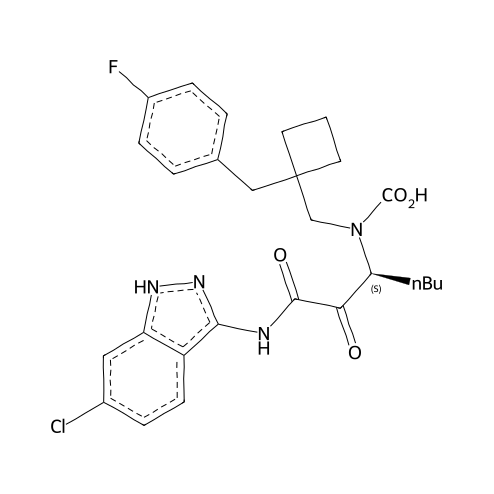 CCCC[C@@H](C(=O)C(=O)Nc1n[nH]c2cc(Cl)ccc12)N(CC1(Cc2ccc(F)cc2)CCC1)C(=O)O